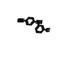 O=Nc1ccc(Nc2cccc(Cl)c2)cc1